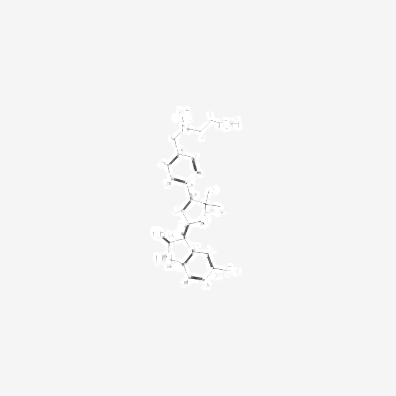 CCN(CCO)Cc1ccc(C2=C/C(=C3\C(=O)Nc4ccc(F)cc43)OC2(C)C)cc1